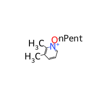 CCCCCO[n+]1cccc(C)c1C